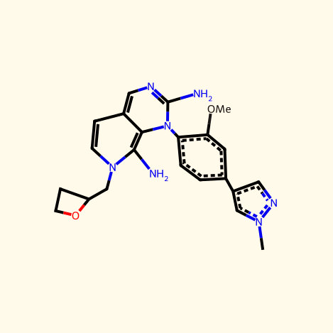 COc1cc(-c2cnn(C)c2)ccc1N1C(N)=NC=C2C=CN(CC3CCO3)C(N)=C21